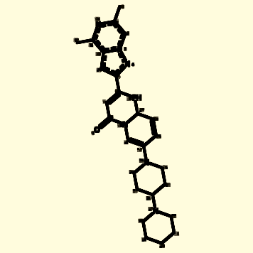 Cc1cn2nc(C3=CC(=O)N4C=C(N5CCC(N6CCCCC6)CC5)C=CC4P3)cc2c(C)n1